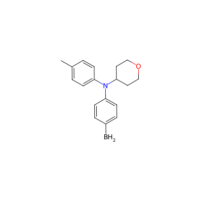 Bc1ccc(N(c2ccc(C)cc2)C2CCOCC2)cc1